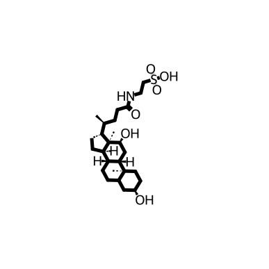 C[C@@H](CCC(=O)NCCS(=O)(=O)O)[C@H]1CC[C@@H]2[C@H]3CCC4C[C@H](O)CC[C@]4(C)[C@H]3C[C@H](O)[C@@]21C